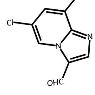 O=Cc1cnc2c(Br)cc(Cl)cn12